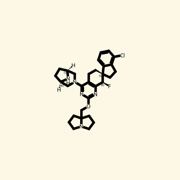 F[C@H]1c2nc(OCC34CCCN3CCC4)nc(N3C[C@H]4CC[C@@H](C3)N4)c2CC[C@@]12CCc1c(Cl)cccc12